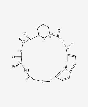 C=C1CCCc2ccc3ccc(cc3c2)[C@@H](C)OC(=O)[C@@H]2CCCN(N2)C(=O)[C@H](C)NC(=O)[C@H](C(C)C)N1